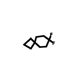 FC1(F)CCC2([CH]CC2)CC1